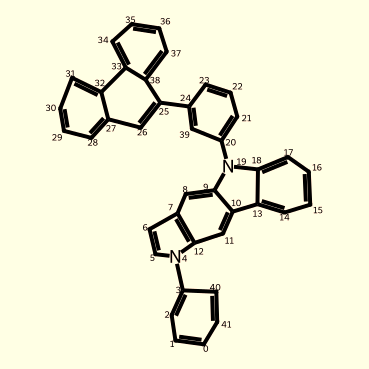 c1ccc(-n2ccc3cc4c(cc32)c2ccccc2n4-c2cccc(-c3cc4ccccc4c4ccccc34)c2)cc1